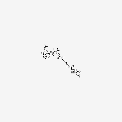 COC1C(OC(=O)N[C@@H](COC(=O)NCCCCCCNC(=O)CNN[C@H](C=O)CC(C)C)C(C)C)CC[C@]2(CO2)C1C1(C)O[C@@H]1CC=C(C)C